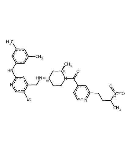 CCc1cnc(Nc2cc(C)cc(C)c2)nc1CN[C@H]1CCN(C(=O)c2ccnc(CCC(C)[SH](=O)=O)c2)[C@H](C)C1